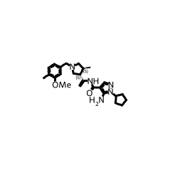 C=C(NC(=O)c1cnn(C2CCCC2)c1N)[C@@H]1CN(Cc2ccc(C)c(OC)c2)C[C@H]1C